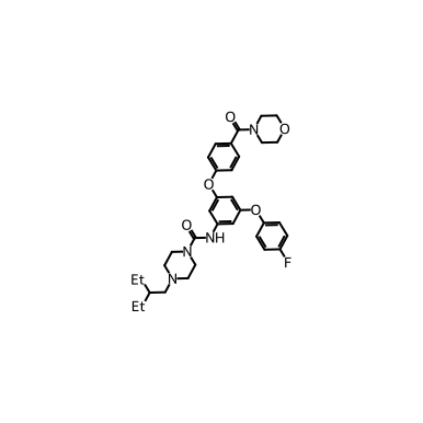 CCC(CC)CN1CCN(C(=O)Nc2cc(Oc3ccc(F)cc3)cc(Oc3ccc(C(=O)N4CCOCC4)cc3)c2)CC1